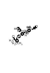 C=C(CCCl)C1=C(CN2CCN(c3ccc(C(=O)NS(=O)(=O)c4ccc(OCC5CC6(COC6)C5)c([N+](=O)[O-])c4)c(Oc4cnc5[nH]ccc5c4)c3)CC2)CCC(C)(C)C1